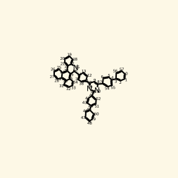 c1ccc(-c2ccc(-c3cc(-c4ccc(-c5nc6ccccc6c6c7ccccc7c7ccccc7c56)cc4)nc(-c4ccc(-c5ccccc5)cc4)n3)cc2)cc1